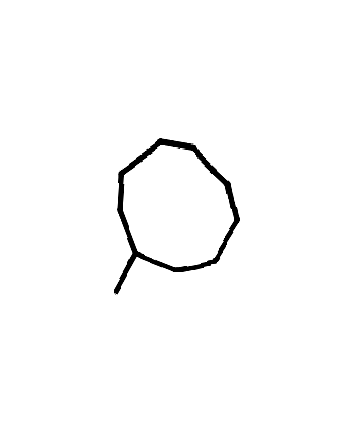 C[C]1CCCCCCCC1